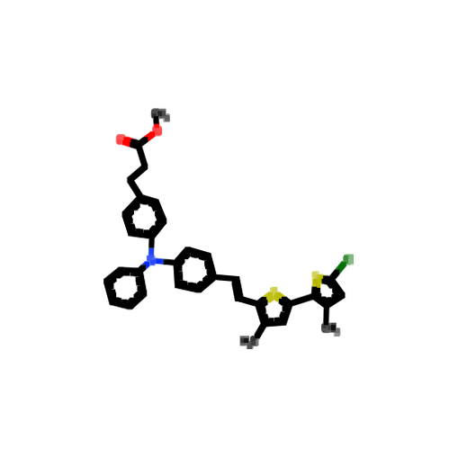 COC(=O)CCc1ccc(N(c2ccccc2)c2ccc(/C=C/c3sc(-c4sc(Cl)cc4C)cc3C)cc2)cc1